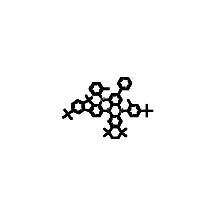 Cc1cc(C(C)(C)C)ccc1N1c2cc3c(cc2B2c4ccc5c(c4N(c4ccccc4C)c4cc(-c6ccccc6)cc1c42)C(C)(C)c1ccc(C(C)(C)C)cc1-5)C(C)(C)CCC3(C)C